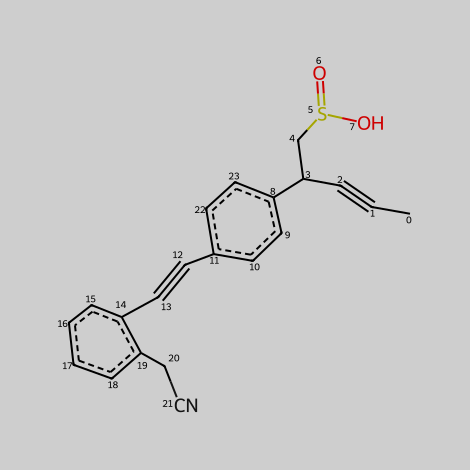 CC#CC(CS(=O)O)c1ccc(C#Cc2ccccc2CC#N)cc1